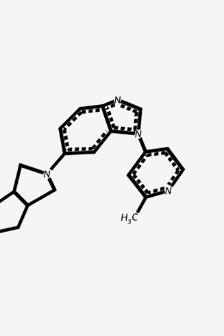 Cc1cc(-n2cnc3ccc(N4CC5CNCC5C4)cc32)ccn1